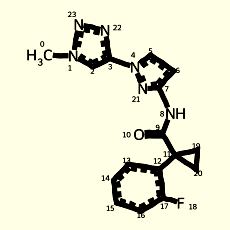 Cn1cc(-n2ccc(NC(=O)C3(c4ccccc4F)CC3)n2)nn1